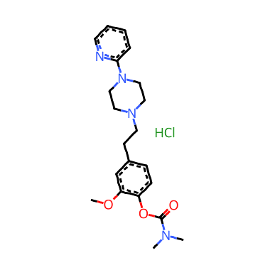 COc1cc(CCN2CCN(c3ccccn3)CC2)ccc1OC(=O)N(C)C.Cl